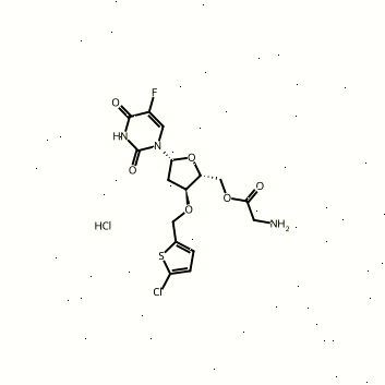 Cl.NCC(=O)OC[C@H]1O[C@@H](n2cc(F)c(=O)[nH]c2=O)C[C@@H]1OCc1ccc(Cl)s1